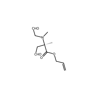 C=CCOC(=O)[C@@](C)(CC=O)N(C)CC=O